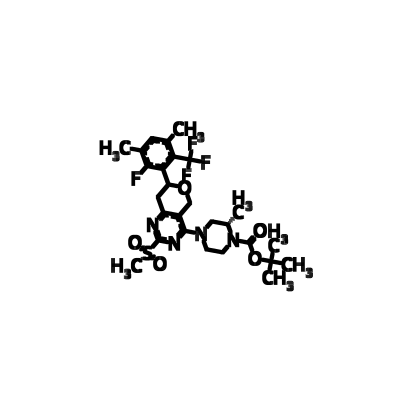 Cc1cc(C)c(C(F)(F)F)c(C2Cc3nc(S(C)(=O)=O)nc(N4CCN(C(=O)OC(C)(C)C)[C@@H](C)C4)c3CO2)c1F